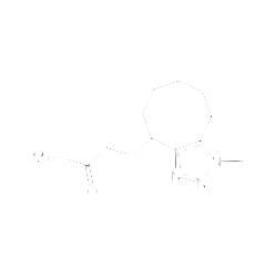 COC(=O)COC1CCCCCc2c1nnn2I